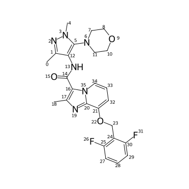 Cc1nn(C)c(N2CCOCC2)c1NC(=O)c1c(C)nc2c(OCc3c(F)cccc3F)cccn12